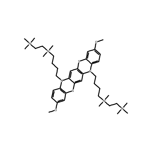 COc1ccc2c(c1)sc1cc3c(cc1n2CCCC[N+](C)(C)CC[N+](C)(C)C)sc1cc(OC)ccc1n3CCCC[N+](C)(C)CC[N+](C)(C)C